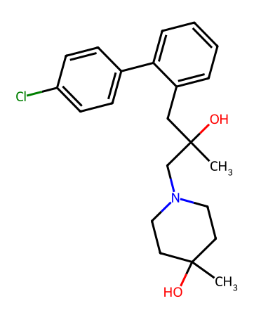 CC1(O)CCN(CC(C)(O)Cc2ccccc2-c2ccc(Cl)cc2)CC1